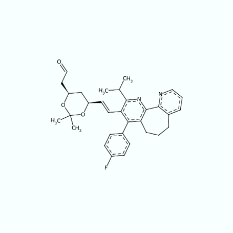 CC(C)c1nc2c(c(-c3ccc(F)cc3)c1/C=C/[C@@H]1C[C@H](CC=O)OC(C)(C)O1)CCCc1cccnc1-2